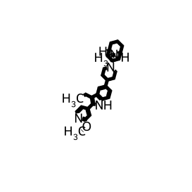 CCc1c(-c2ccnc(OC)c2)[nH]c2ccc(C3CCN(C4C[C@H]5CCC[C@@H](C4)N5C)CC3)cc12